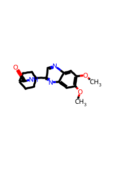 COc1cc2ncc(C34CCC(CC3)C(=O)N4)nc2cc1OC